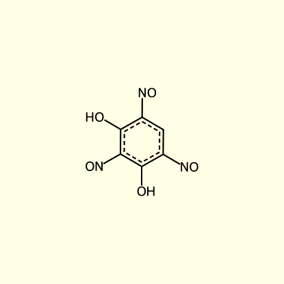 O=Nc1cc(N=O)c(O)c(N=O)c1O